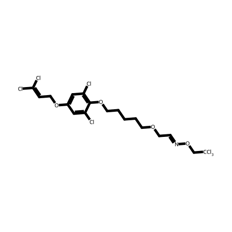 ClC(Cl)=CCOc1cc(Cl)c(OCCCCCOCC=NOCC(Cl)(Cl)Cl)c(Cl)c1